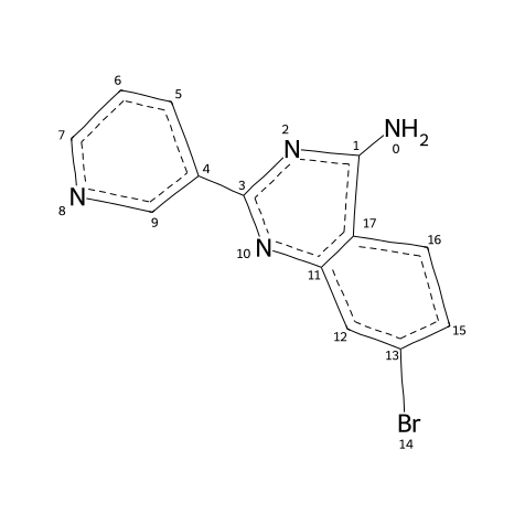 Nc1nc(-c2cccnc2)nc2cc(Br)ccc12